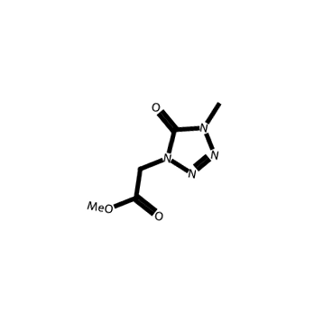 COC(=O)Cn1nnn(C)c1=O